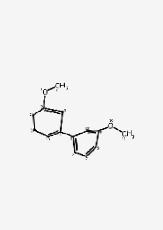 COC1=CC(c2cccc(OC)c2)=CCC1